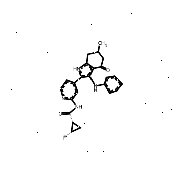 CC1CC(=O)c2c([nH]c(-c3ccnc(NC(=O)[C@@H]4C[C@@H]4F)c3)c2Nc2ccccc2)C1